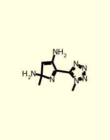 Cn1nnnc1C1=NC(C)(N)C=C1N